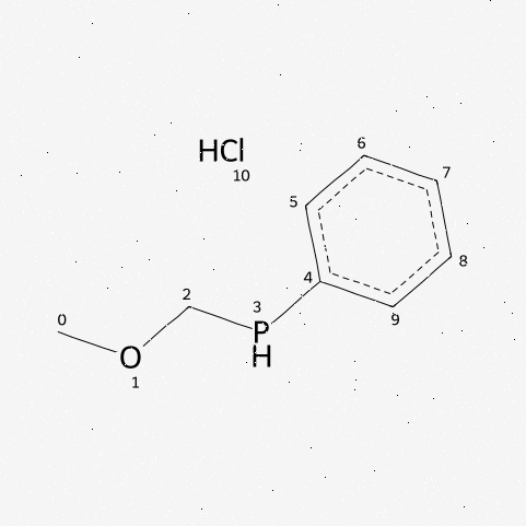 COCPc1ccccc1.Cl